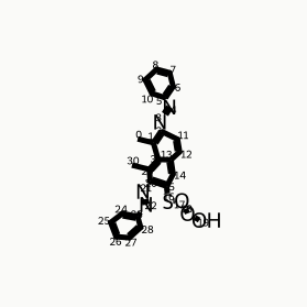 Cc1c(N=Nc2ccccc2)ccc2cc(SOOO)c(N=Nc3ccccc3)c(C)c12